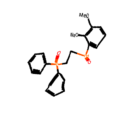 COc1cccc([PH](=O)CCP(=O)(c2ccccc2)c2ccccc2)c1OC